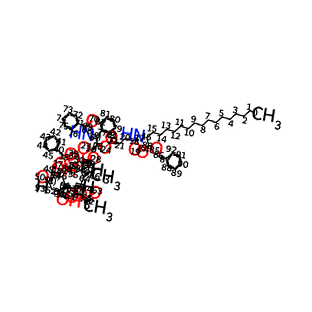 CCCCCCCCCCCCCCCCC(NC(=O)CCC(=O)O[C@@H](C(=O)O[C@H]1C[C@]2(O)C3(C)C[C@@]2(OC(=O)c2ccccc2)C2[C@]4(O)CO[C@@H]4C[C@H](O)[C@@]2(C)C(=O)[C@H](OC(C)=O)C3=C1C)[C@@H](NC(=O)c1ccccc1)c1ccccc1)C(=O)OCc1ccccc1